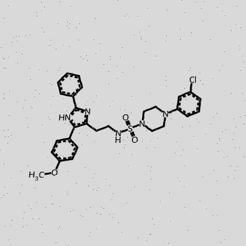 COc1ccc(-c2[nH]c(-c3ccccc3)nc2CCNS(=O)(=O)N2CCN(c3cccc(Cl)c3)CC2)cc1